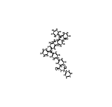 O=C1CC(c2ccccc2)Oc2ccc(-c3ccc(N(c4ccccc4)c4ccc5sc6c(ccc7c8ccccc8n(-c8ccccc8)c76)c5c4)cc3)cc21